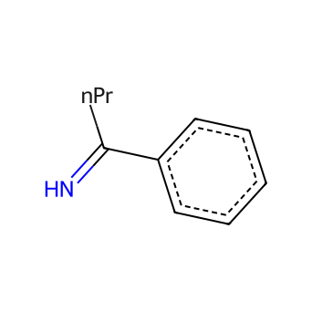 CCCC(=N)c1ccccc1